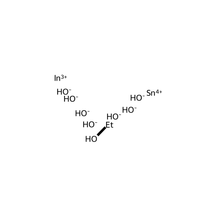 CCO.[In+3].[OH-].[OH-].[OH-].[OH-].[OH-].[OH-].[OH-].[Sn+4]